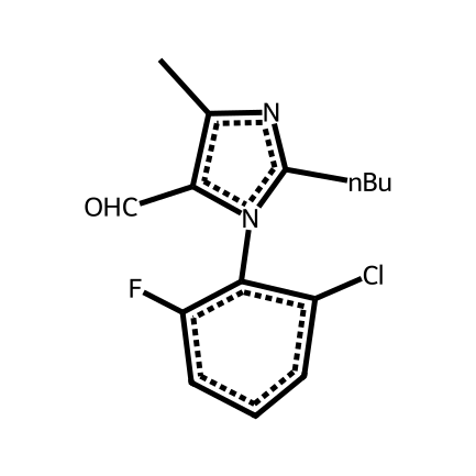 CCCCc1nc(C)c(C=O)n1-c1c(F)cccc1Cl